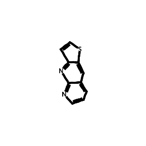 c1cnc2nc3ccsc3cc2c1